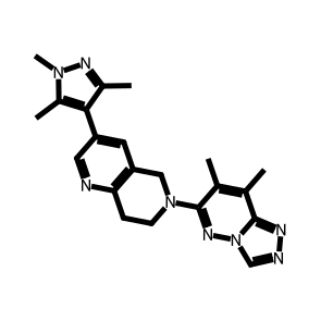 Cc1nn(C)c(C)c1-c1cnc2c(c1)CN(c1nn3cnnc3c(C)c1C)CC2